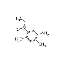 Cc1cc(C)c([S+]([O-])CC(F)(F)F)cc1N